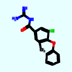 Cl.N=C(N)NC(=O)c1ccc(Oc2ccccc2)c(C(F)(F)F)c1